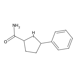 NC(=O)C1CCC(c2ccccc2)[IH]1